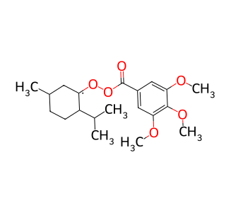 COc1cc(C(=O)OO[C]2CC(C)CCC2C(C)C)cc(OC)c1OC